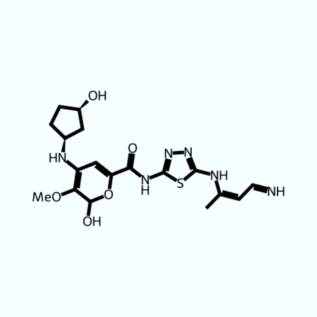 COC1=C(N[C@H]2CC[C@@H](O)C2)C=C(C(=O)Nc2nnc(N/C(C)=C\C=N)s2)OC1O